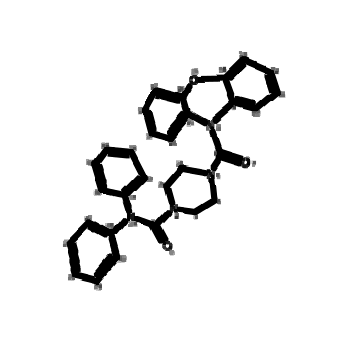 O=C(N1CCN(C(=O)N2c3ccccc3Oc3ccccc32)CC1)N(c1ccccc1)c1ccccc1